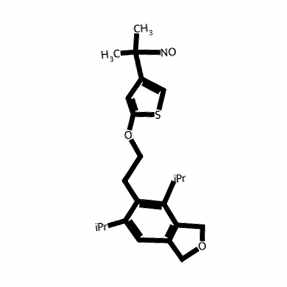 CC(C)c1cc2c(c(C(C)C)c1CCOc1cc(C(C)(C)N=O)cs1)COC2